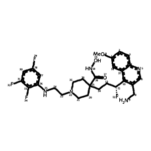 COc1ccc2ncc(CN)c([C@H](F)CCC3(C(=O)NO)CCN(CCNc4cc(F)cc(F)c4F)CC3)c2c1